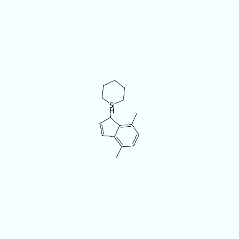 Cc1ccc(C)c2c1C=CC2[SiH]1CCCCC1